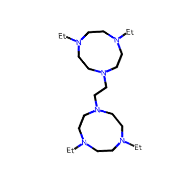 CCN1CCN(CC)CCN(CCN2CCN(CC)CCN(CC)CC2)CC1